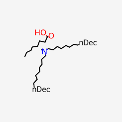 CCCCCCCC(=O)O.CCCCCCCCCCCCCCCCCCN(C)CCCCCCCCCCCCCCCCCC